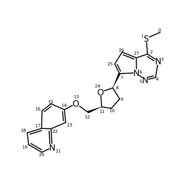 CSc1ncnn2c([C@H]3CC[C@@H](COc4ccc5cccnc5c4)O3)ccc12